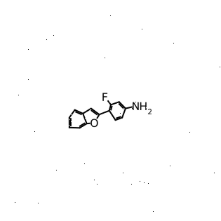 Nc1ccc(-c2cc3ccccc3o2)c(F)c1